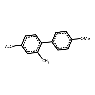 COc1ccc(-c2ccc(OC(C)=O)cc2C)cc1